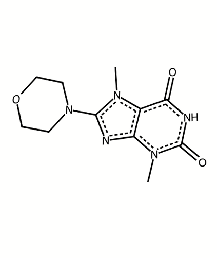 Cn1c(N2CCOCC2)nc2c1c(=O)[nH]c(=O)n2C